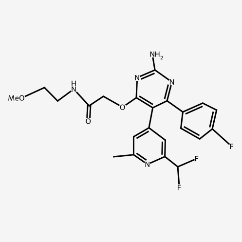 COCCNC(=O)COc1nc(N)nc(-c2ccc(F)cc2)c1-c1cc(C)nc(C(F)F)c1